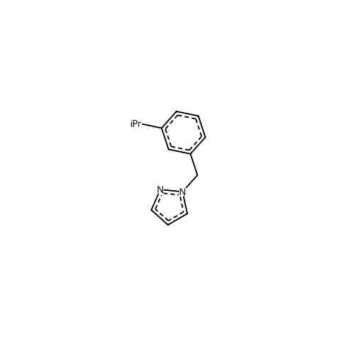 CC(C)c1cccc(Cn2cccn2)c1